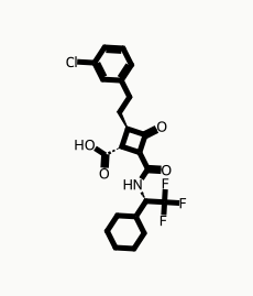 O=C(N[C@@H](C1CCCCC1)C(F)(F)F)C1C(=O)[C@H](CCc2cccc(Cl)c2)[C@H]1C(=O)O